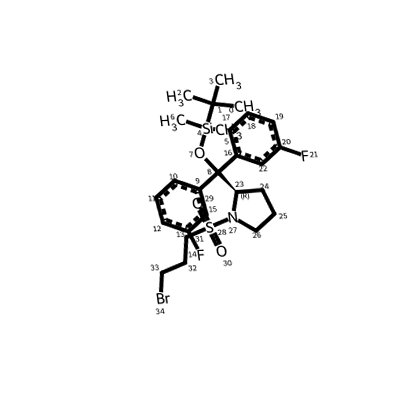 CC(C)(C)[Si](C)(C)OC(c1cccc(F)c1)(c1cccc(F)c1)[C@H]1CCCN1S(=O)(=O)CCCBr